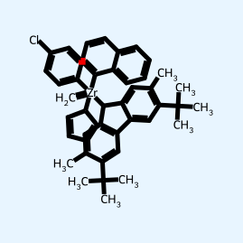 [CH2]=[Zr]([c]1ccc(Cl)cc1)([c]1cccc2ccccc12)([CH]1C=CC=C1)[CH]1c2cc(C)c(C(C)(C)C)cc2-c2cc(C(C)(C)C)c(C)cc21